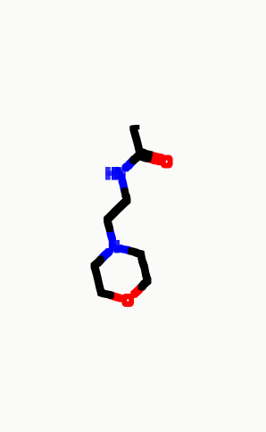 [CH2]C(=O)NCCN1CCOCC1